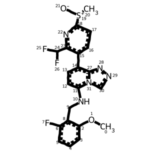 COc1cccc(F)c1CNc1ccc(-c2ccc([S+](C)[O-])nc2C(F)F)c2nncn12